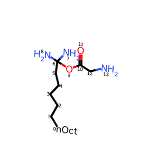 CCCCCCCCCCCCCC(N)(N)OC(=O)CN